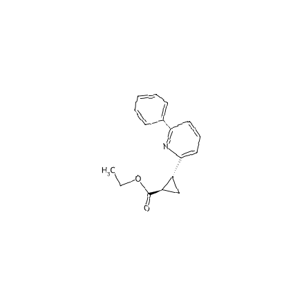 CCOC(=O)[C@@H]1C[C@H]1c1cccc(-c2ccccc2)n1